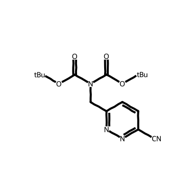 CC(C)(C)OC(=O)N(Cc1ccc(C#N)nn1)C(=O)OC(C)(C)C